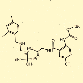 CCCC(O)(CCC)[C@H](CNCc1ccc(C)cc1C)NC(=O)CNC(=O)c1cc(C(F)(F)F)ccc1NC(=O)OC(C)(C)C